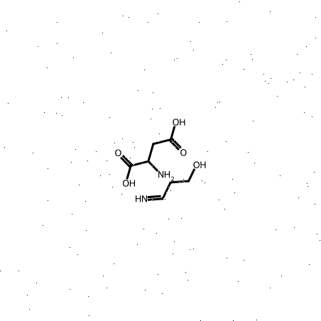 N=CCCO.NC(CC(=O)O)C(=O)O